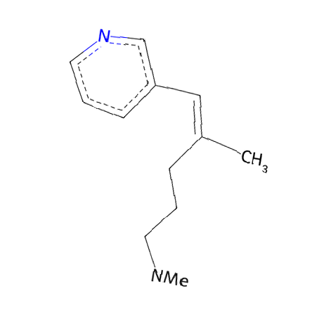 CNCCCC(C)=Cc1cccnc1